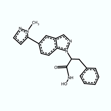 Cn1nccc1-c1ccc2c(cnn2C(Cc2ccccc2)C(=O)NO)c1